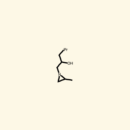 CC(C)CC(O)CN1CC1C